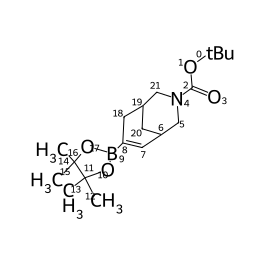 CC(C)(C)OC(=O)N1CC2C=C(B3OC(C)(C)C(C)(C)O3)CC(C2)C1